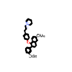 COc1cccc(-c2ccc3cc(OC)ccc3c2Oc2ccc(C/C=C/N3CCCCC3)cc2)c1